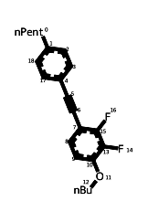 CCCCCc1ccc(C#Cc2ccc(OCCCC)c(F)c2F)cc1